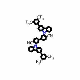 N#Cc1ccc(-c2ccc(C#N)c(-n3c4ccccc4c4cc(-c5cc(C(F)(F)F)cc(C(F)(F)F)c5)ccc43)c2)cc1-n1c2ccccc2c2cc(-c3cc(C(F)(F)F)cc(C(F)(F)F)c3)ccc21